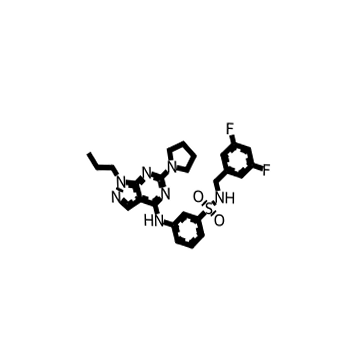 CCCn1ncc2c(Nc3cccc(S(=O)(=O)NCc4cc(F)cc(F)c4)c3)nc(N3CCCC3)nc21